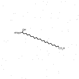 CCCCCCCC(O)CCCCCCCCCCCCCCCCCCCCC(=O)O